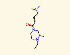 CCN1CCN(C(=O)/C=C/CN(C)C)CC1C